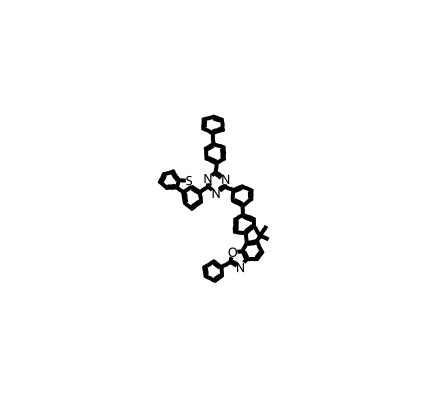 CC1(C)c2cc(-c3cccc(-c4nc(-c5ccc(-c6ccccc6)cc5)nc(-c5cccc6c5sc5ccccc56)n4)c3)ccc2-c2c1ccc1nc(-c3ccccc3)oc21